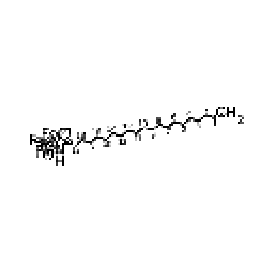 C=CCCCCCCCCCCCCCCCCCCC(=O)NS(=O)(=O)C(F)(F)F